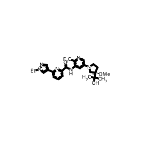 CCn1cc(-c2cccc(C(=O)Nc3cc(N4CC[C@@](OC)(C(C)(C)O)C4)cnc3C(F)(F)F)n2)cn1